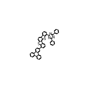 c1ccc(-c2nc(-c3ccccc3)nc(-c3cccc4c3sc3c4ccc4sc5c(-c6ccc7c8ccccc8c8ccccc8c7c6)cccc5c43)n2)cc1